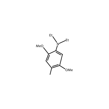 CCN(CC)c1cc(OC)c(C)cc1OC